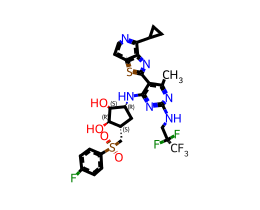 Cc1nc(NCC(F)(F)C(F)(F)F)nc(N[C@@H]2C[C@H](CS(=O)(=O)c3ccc(F)cc3)[C@@H](O)[C@H]2O)c1-c1nc2c(C3CC3)nccc2s1